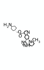 Cc1cccc(-c2[nH]cnc2-c2ccc3nccc(C(=O)OC[C@H]4CC[C@H](N)CC4)c3c2)n1